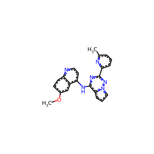 COc1ccc2nccc(Nc3nc(-c4cccc(C)n4)nn4cccc34)c2c1